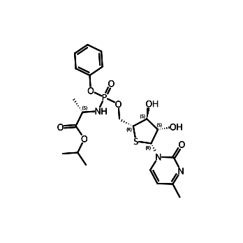 Cc1ccn([C@@H]2S[C@H](COP(=O)(N[C@@H](C)C(=O)OC(C)C)Oc3ccccc3)[C@@H](O)[C@@H]2O)c(=O)n1